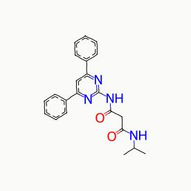 CC(C)NC(=O)CC(=O)Nc1nc(-c2ccccc2)cc(-c2ccccc2)n1